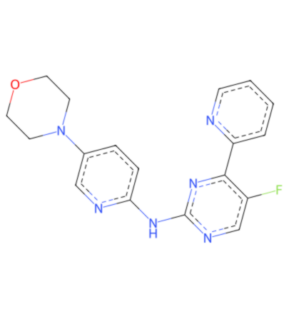 Fc1cnc(Nc2ccc(N3CCOCC3)cn2)nc1-c1ccccn1